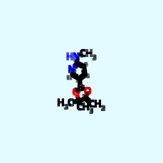 C=C1OB(c2ccc(NC)nc2)OC1(C)C